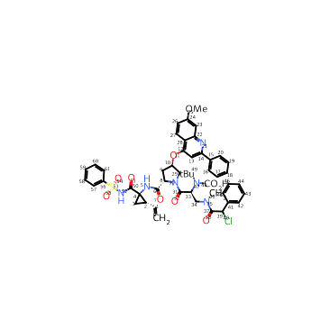 C=C[C@@H]1C[C@]1(NC(=O)[C@@H]1C[C@@H](Oc2cc(-c3ccccc3)nc3cc(OC)ccc23)CN1C(=O)[C@H](CN(C)C(=O)C(Cl)c1ccccc1)N(C(=O)O)C(C)(C)C)C(=O)NS(=O)(=O)c1ccccc1